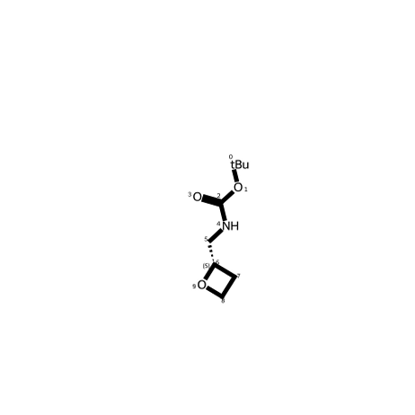 CC(C)(C)OC(=O)NC[C@@H]1CCO1